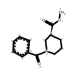 COC(=O)[C@H]1CCCN(C(=O)c2ccccc2)C1